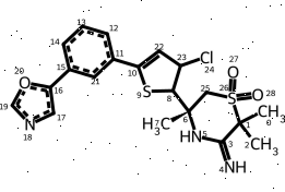 CC1(C)C(=N)N[C@](C)(C2SC(c3cccc(-c4cnco4)c3)=CC2Cl)CS1(=O)=O